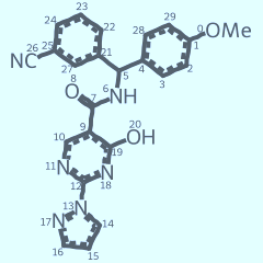 COc1ccc(C(NC(=O)c2cnc(-n3cccn3)nc2O)c2cccc(C#N)c2)cc1